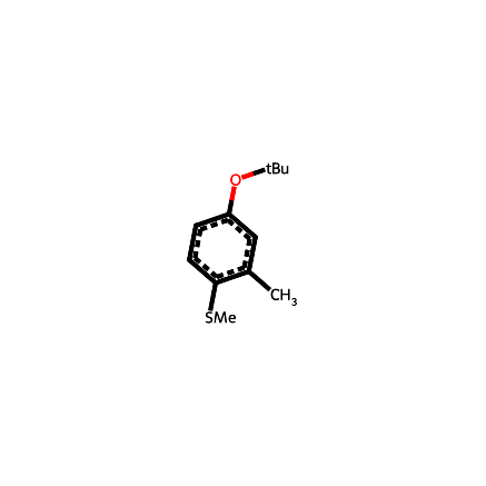 CSc1ccc(OC(C)(C)C)cc1C